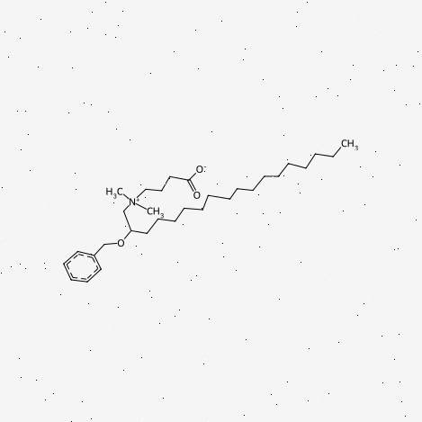 CCCCCCCCCCCCCCCCC(C[N+](C)(C)CCCC(=O)[O-])OCc1ccccc1